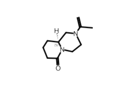 C=C(C)N1CCN2C(=O)CCC[C@H]2C1